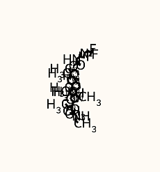 CCNC(=O)O[C@H](C(C)C)C1C[C@@H](C)[C@H]2C(O1)[C@H](O)[C@@]1(C)C3CC[C@H]4C(C)(C)[C@@H](OC(=O)NC5CN(CC(F)(F)F)C5)CC[C@@]45C[C@@]35CC[C@]21C